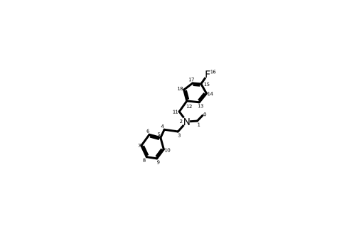 CCN(CCc1ccccc1)Cc1ccc(F)cc1